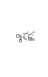 C=C(/C=C\C(=C/C)C(C)(C)C)C(=O)Cl